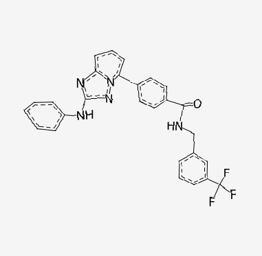 O=C(NCc1cccc(C(F)(F)F)c1)c1ccc(-c2cccc3nc(Nc4ccccc4)nn23)cc1